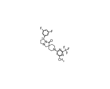 Cc1cc(N2CCC3(CC2)CN2CC[C@@H](c4cc(F)cc(F)c4)N2C3=O)nc(C(F)(F)F)n1